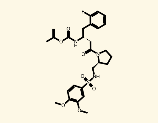 C=C(C)OC(=O)N[C@@H](CC(=O)N1CCC[C@H]1CNS(=O)(=O)c1ccc(OC)c(OC)c1)Cc1ccccc1F